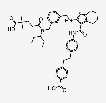 CCC(CC)N(Cc1cccc(CNc2sc3c(c2C(=O)Nc2ccc(CCc4ccc(C(=O)O)cc4)cc2)CCCC3)c1)C(=O)CCC(C)(C)C(=O)O